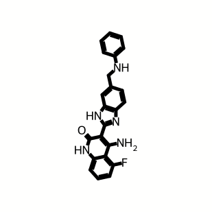 Nc1c(-c2nc3ccc(CNc4ccccc4)cc3[nH]2)c(=O)[nH]c2cccc(F)c12